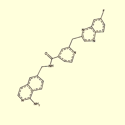 Nc1nccc2cc(CNC(=O)c3ccnc(Cc4cnc5ccc(F)cc5n4)c3)ccc12